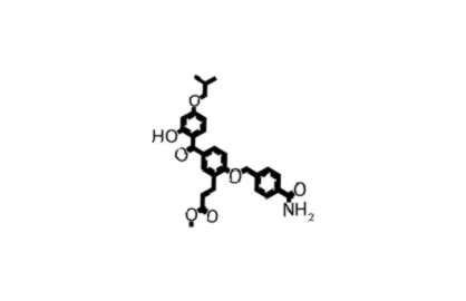 COC(=O)CCc1cc(C(=O)c2ccc(OCC(C)C)cc2O)ccc1OCc1ccc(C(N)=O)cc1